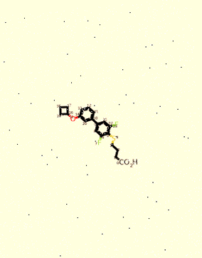 O=C(O)CCCSc1c(F)cc(-c2cccc(OC3CCC3)c2)cc1F